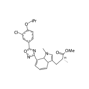 COC(=O)[C@H](C)CC1=CN(C)C2C(c3noc(-c4ccc(OC(C)C)c(Cl)c4)n3)=CC=CC12